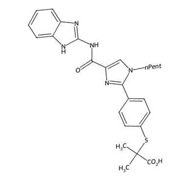 CCCCCn1cc(C(=O)Nc2nc3ccccc3[nH]2)nc1-c1ccc(SC(C)(C)C(=O)O)cc1